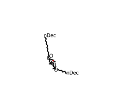 CCCCCCCCCCCCCCCCCCCCCC(=O)OC1CC(C)(C)N(OCC(C)(C)OCCCCCCCCCCCCCCCC)C(C)(C)C1